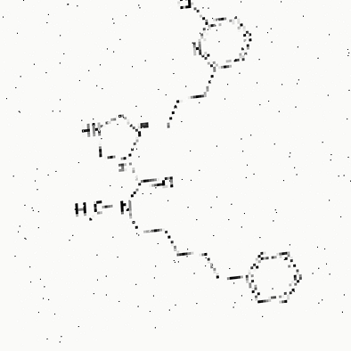 CN(CCCCCc1ccccc1)C(=O)[C@@H]1CNC[C@@H]1CCCc1cccc(Cl)n1